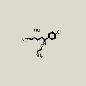 Cl.N#CCCCCCC(=NOCCN)c1ccc(Cl)cc1